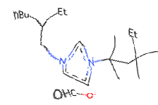 CCCCC(CC)C[n+]1ccn(C(C)(C)C(C)(C)CC)c1.O=C[O-]